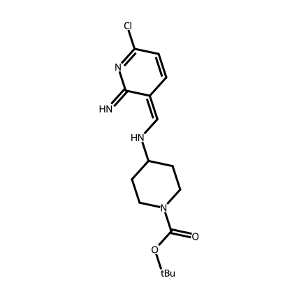 CC(C)(C)OC(=O)N1CCC(N/C=C2/C=CC(Cl)=NC2=N)CC1